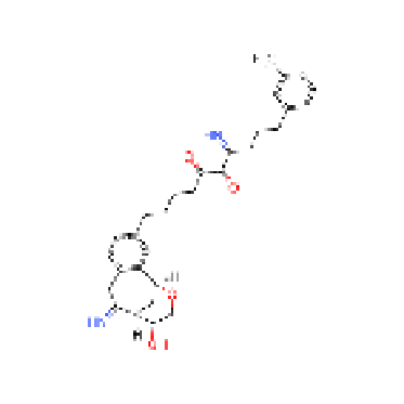 N=C(CCCc1cccc(C(F)(F)F)c1)C(=O)C(=O)CCCCc1ccc2c(c1)[C@@H]1C[C@H](C(=N)C2)[C@H](O)CO1